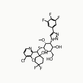 CO[C@@H]1[C@@H](n2cc(-c3cc(F)c(F)c(F)c3)nn2)[C@@H](O)[C@@H](CO)O[C@H]1SC(c1nccc(Cl)c1Cl)C1(O)CCC(F)(F)CC1